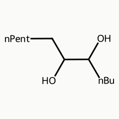 CCCCCCC(O)C(O)CCCC